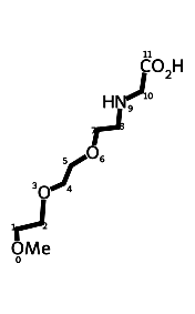 COCCOCCOCCNCC(=O)O